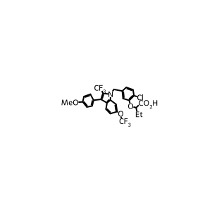 CCC(Oc1cc(Cn2c(C(F)(F)F)c(-c3ccc(OC)cc3)c3ccc(OC(F)(F)F)cc32)ccc1Cl)C(=O)O